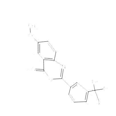 COc1ccc2nc(-c3cccc(C(F)(F)F)c3)oc(=O)c2c1